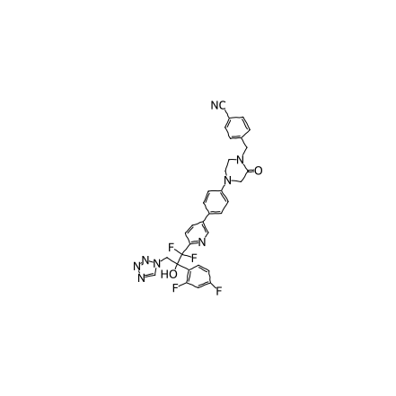 N#Cc1ccc(CN2CCN(c3ccc(-c4ccc(C(F)(F)C(O)(Cn5cnnn5)c5ccc(F)cc5F)nc4)cc3)CC2=O)cc1